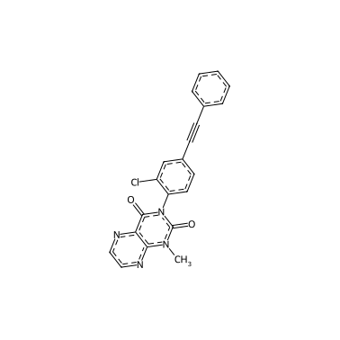 Cn1c(=O)n(-c2ccc(C#Cc3ccccc3)cc2Cl)c(=O)c2nccnc21